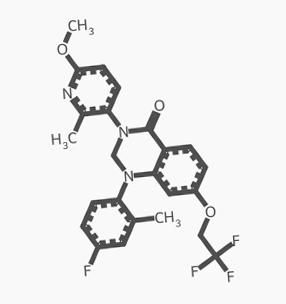 COc1ccc(N2CN(c3ccc(F)cc3C)c3cc(OCC(F)(F)F)ccc3C2=O)c(C)n1